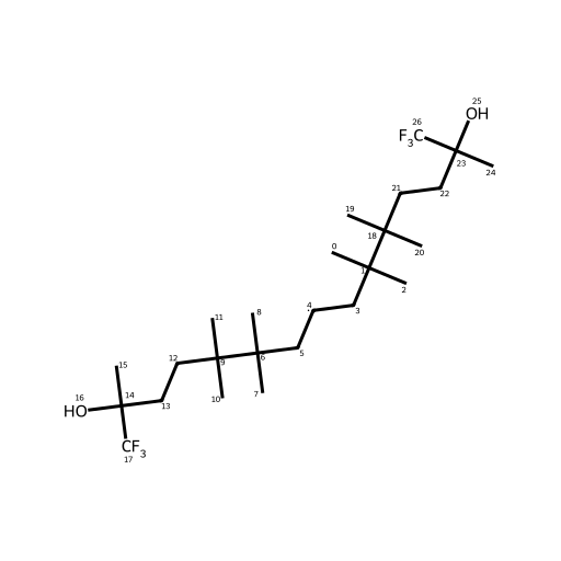 CC(C)(C[CH]CC(C)(C)C(C)(C)CCC(C)(O)C(F)(F)F)C(C)(C)CCC(C)(O)C(F)(F)F